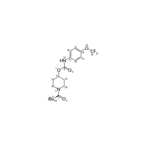 CC[C@H](C)C(=O)N1CCC(OC(=O)Nc2ccc(OC(F)(F)F)cc2)CC1